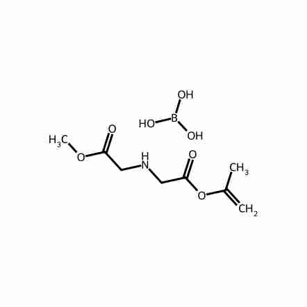 C=C(C)OC(=O)CNCC(=O)OC.OB(O)O